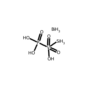 O=[P](O)(O)[V](=[O])(=[O])([OH])[SiH3].[BiH3]